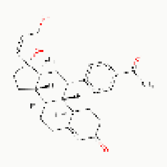 CC(=O)c1ccc([C@H]2C[C@@]3(C)[C@@H](CC[C@@]3(O)/C=C\CO)[C@@H]3CCC4=CC(=O)CC[C@@H]4[C@H]32)cc1